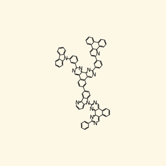 c1ccc(-c2ncc3c4ccccc4c4cnc(-n5c6ccc(-c7ccc8c(c7)c7cnc(-c9cccc(-c%10ccc%11c%12ccccc%12c%12ccccc%12c%11n%10)c9)nc7c7nc(-c9cccc(-n%10c%11ccccc%11c%11ccccc%11%10)c9)ncc87)cc6c6ncccc65)nc4c3n2)cc1